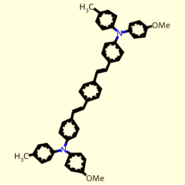 COc1ccc(N(c2ccc(C)cc2)c2ccc(C=Cc3ccc(C=Cc4ccc(N(c5ccc(C)cc5)c5ccc(OC)cc5)cc4)cc3)cc2)cc1